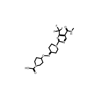 CNC(=O)c1cnc(N2CCC(=NOC3CCN(C(=O)O)CC3)CC2)nc1C(F)(F)F